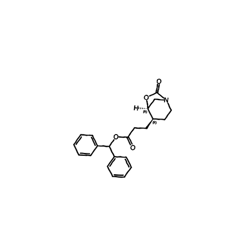 O=C(CC[C@@H]1CCN2C[C@@H]1OC2=O)OC(c1ccccc1)c1ccccc1